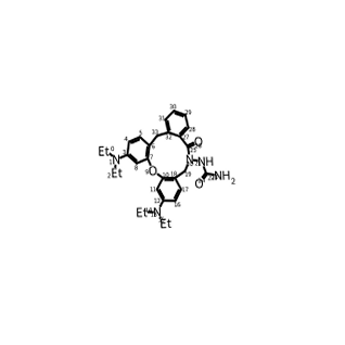 CCN(CC)c1ccc2c(c1)Oc1cc(N(CC)CC)ccc1CN(NC(N)=O)C(=O)c1ccccc1C2